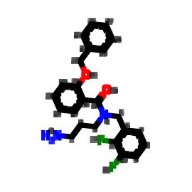 NCCCN(Cc1cccc(F)c1F)C(=O)c1ccccc1OCc1ccccc1